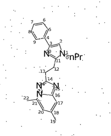 CCCn1cc(-c2ccccc2)nc1CCc1nc2cc(C)cc(C)n2n1